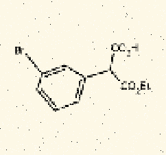 CCOC(=O)C(C(=O)O)c1cccc(Br)c1